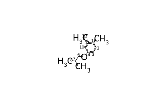 Cc1ccc(OCC(C)C)cc1C